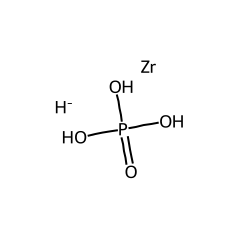 O=P(O)(O)O.[H-].[Zr]